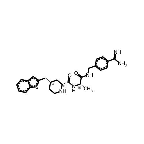 C[C@H](NC(=O)[C@H]1C[C@@H](Cc2cc3ccccc3s2)CCN1)C(=O)NCc1ccc(C(=N)N)cc1